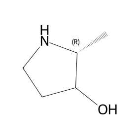 C[C@H]1NCCC1O